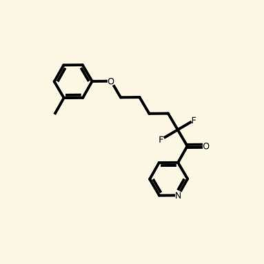 Cc1cccc(OCCCCC(F)(F)C(=O)c2cccnc2)c1